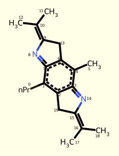 CCCc1c2c(c(C)c3c1=NC(=C(C)C)C3)=NC(=C(C)C)C2